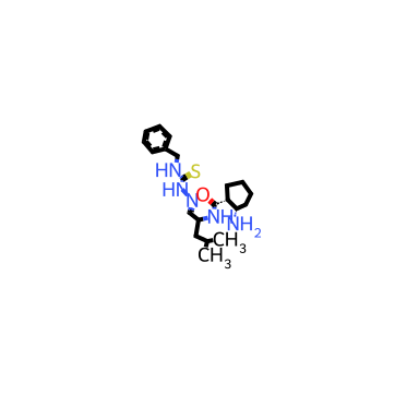 CC(C)CC(C=NNC(=S)NCc1ccccc1)NC(=O)[C@@H]1CCCC[C@@H]1N